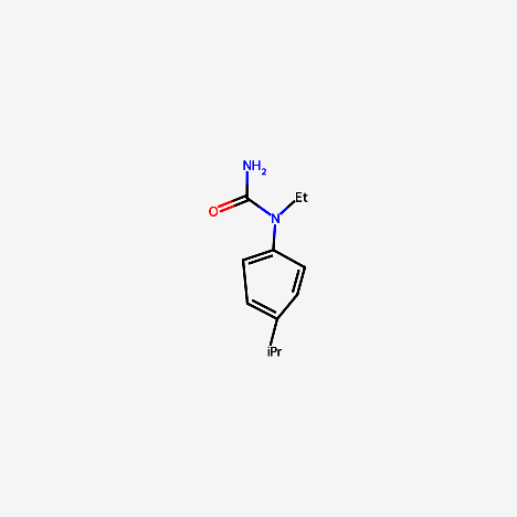 CCN(C(N)=O)c1ccc(C(C)C)cc1